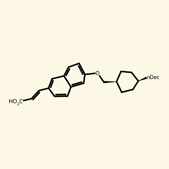 CCCCCCCCCC[C@H]1CC[C@@H](COc2ccc3cc(/C=C/C(=O)O)ccc3c2)CC1